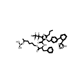 CCCc1nc(C(F)(F)C(F)(F)F)c(C(=O)NC(Cc2ccccc2)C(=O)OCCCCC(C)ON(O)O)n1Cc1ccc(-c2ccccc2-c2nnn[nH]2)cc1